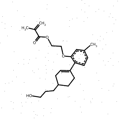 C=C(C)C(=O)OCCOc1cc(C)ccc1C1=CCC(CCCO)CC1